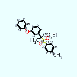 CCOC(=O)C(C)(c1cccc(Oc2ccccc2)c1)S(=O)(=O)c1ccc(C)cc1